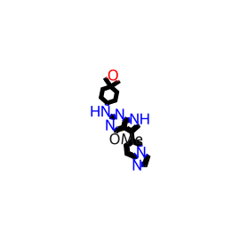 COc1nc(NC2CCC3(CC2)COC3)nc2[nH]cc(-c3ccc4nccn4c3)c12